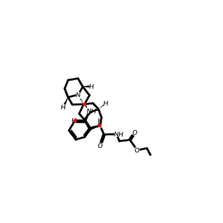 CCOC(=O)CNC(=O)Nc1ccccc1N[C@H]1C[C@H]2CCC[C@@H](C1)N2[C@H]1C[C@@H]2CCC[C@@H](C2)C1